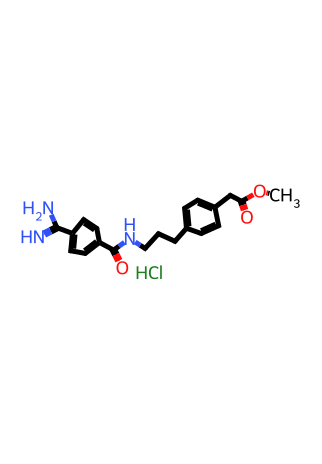 COC(=O)Cc1ccc(CCCNC(=O)c2ccc(C(=N)N)cc2)cc1.Cl